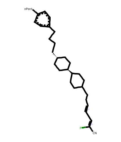 CCCCCc1ccc(CCCC[C@H]2CC[C@H](C3CCC(CC/C=C/C=C(\F)C#N)CC3)CC2)cc1